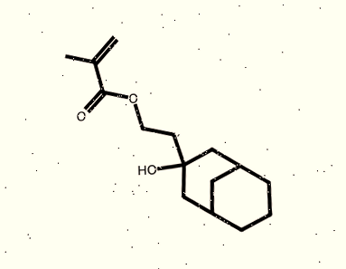 C=C(C)C(=O)OCCC1(O)CC2CCCC(C2)C1